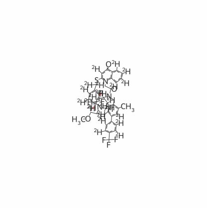 [2H]c1c([2H])c(F)c(F)c(C([2H])([2H])Sc2c([2H])c(=O)c3c([2H])c([2H])c([2H])c([2H])c3n2CC(=O)N(Cc2c([2H])c([2H])c(-c3c([2H])c([2H])c(C(F)(F)F)c([2H])c3[2H])c([2H])c2C)C2([2H])C([2H])([2H])C([2H])([2H])N(CCOC)C([2H])([2H])C2([2H])[2H])c1[2H]